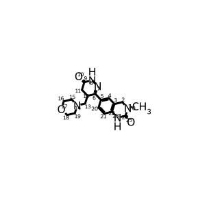 CN1Cc2cc(C3=NNC(=O)CC3CN3CCOCC3)ccc2NC1=O